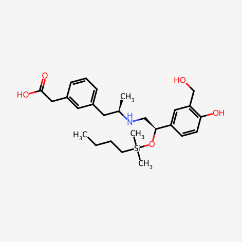 CCCC[Si](C)(C)O[C@@H](CN[C@H](C)Cc1cccc(CC(=O)O)c1)c1ccc(O)c(CO)c1